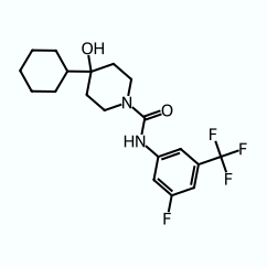 O=C(Nc1cc(F)cc(C(F)(F)F)c1)N1CCC(O)(C2CCCCC2)CC1